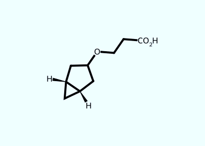 O=C(O)CCOC1C[C@@H]2C[C@@H]2C1